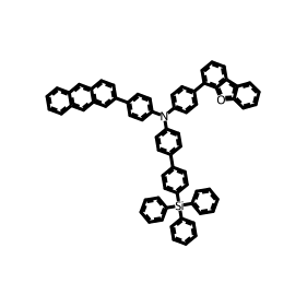 c1ccc([Si](c2ccccc2)(c2ccccc2)c2ccc(-c3ccc(N(c4ccc(-c5ccc6cc7ccccc7cc6c5)cc4)c4ccc(-c5cccc6c5oc5ccccc56)cc4)cc3)cc2)cc1